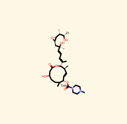 CC[C@H](O)[C@@H](C)[C@H]1O[C@@H]1C[C@@](C)(O)/C=C/C=C(\C)[C@H]1OC(=O)C[C@H](O)CC[C@@](C)(OC)[C@@H](OC(=O)N2CCN(C)CC2)/C=C/[C@@H]1C